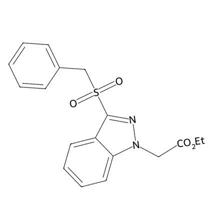 CCOC(=O)Cn1nc(S(=O)(=O)Cc2ccccc2)c2ccccc21